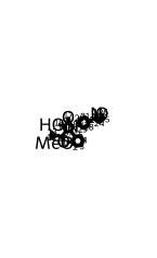 COc1ccccc1C1C(C(=O)C2CC2)=C(O)C(=O)N1c1ccc(-c2ccon2)cc1